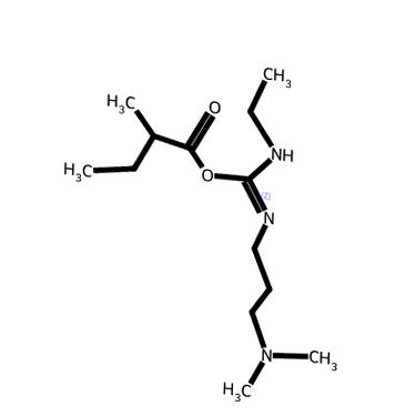 CCN/C(=N/CCCN(C)C)OC(=O)C(C)CC